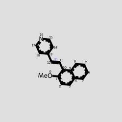 COc1ccc2ccccc2c1/C=C/c1ccncc1